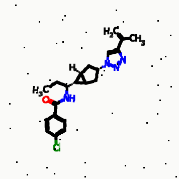 C=C(C)c1cn([C@@H]2CC3[C@H](C(CC)NC(=O)c4ccc(Cl)cc4)[C@H]3C2)nn1